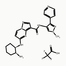 Cn1cc(NC(=O)c2cnn3ccc(N[C@@H]4CCCC[C@@H]4N)nc23)c(-c2ccncc2)n1.O=C(O)C(F)(F)F